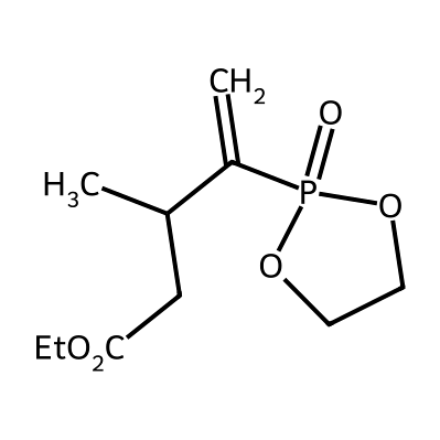 C=C(C(C)CC(=O)OCC)P1(=O)OCCO1